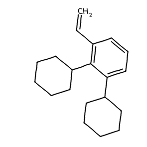 C=Cc1cccc(C2CCCCC2)c1C1CCCCC1